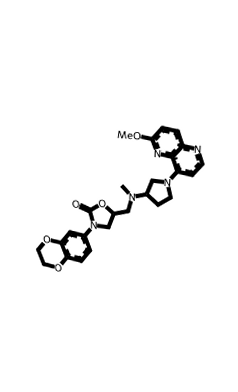 COc1ccc2nccc(N3CCC(N(C)CC4CN(c5ccc6c(c5)OCCO6)C(=O)O4)C3)c2n1